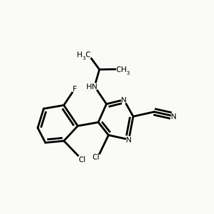 CC(C)Nc1nc(C#N)nc(Cl)c1-c1c(F)cccc1Cl